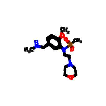 CNCc1ccc(OC)c(N(CCN2CCOCC2)S(C)(=O)=O)c1